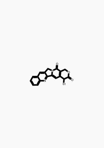 CCC1C(=O)OCc2c1cc1n(c2=O)Cc2cc3ccccc3nc2-1